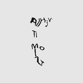 [AlH3].[Ti].[V].[Zr][Mo]